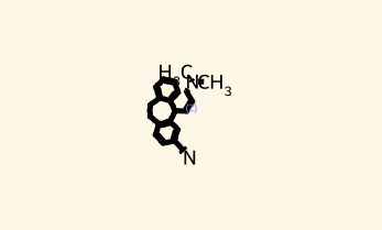 CN(C)C/C=C\C1c2ccccc2CCc2ccc(C#N)cc21